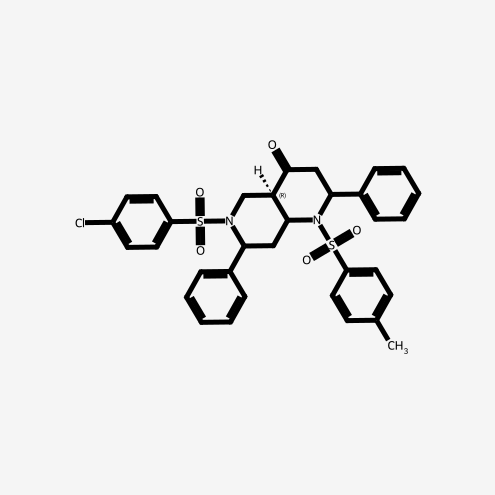 Cc1ccc(S(=O)(=O)N2C(c3ccccc3)CC(=O)[C@@H]3CN(S(=O)(=O)c4ccc(Cl)cc4)C(c4ccccc4)CC32)cc1